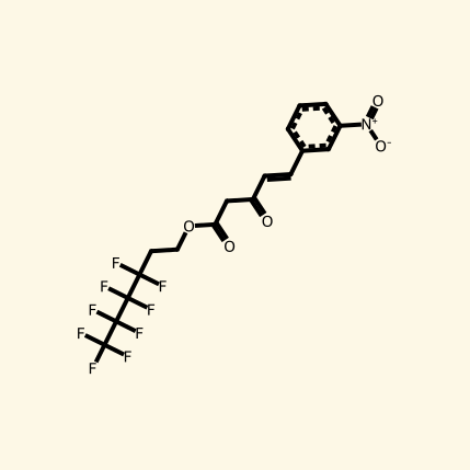 O=C(C=Cc1cccc([N+](=O)[O-])c1)CC(=O)OCCC(F)(F)C(F)(F)C(F)(F)C(F)(F)F